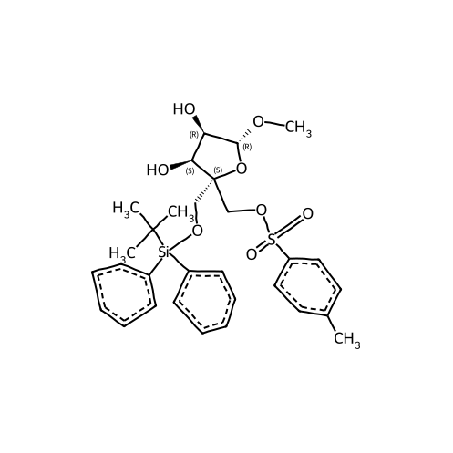 CO[C@@H]1O[C@@](CO[Si](c2ccccc2)(c2ccccc2)C(C)(C)C)(COS(=O)(=O)c2ccc(C)cc2)[C@@H](O)[C@H]1O